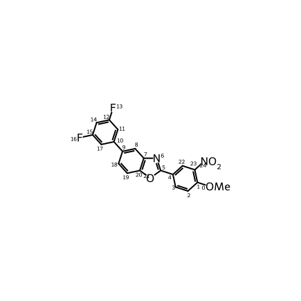 COc1ccc(-c2nc3cc(-c4cc(F)cc(F)c4)ccc3o2)cc1[N+](=O)[O-]